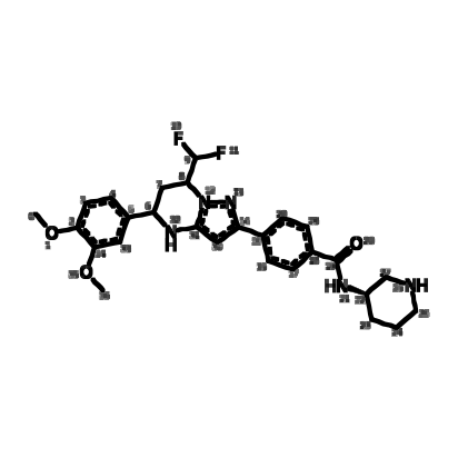 COc1ccc(C2CC(C(F)F)n3nc(-c4ccc(C(=O)N[C@@H]5CCCNC5)cc4)cc3N2)cc1OC